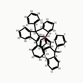 CC1(c2ccccc2)c2ccccc2Oc2ccc(-c3ccccc3C3(c4ccccc4)c4ccccc4-c4c3ccc3ccccc43)cc21